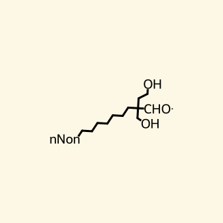 CCCCCCCCCCCCCCCCC([C]=O)(CO)CCO